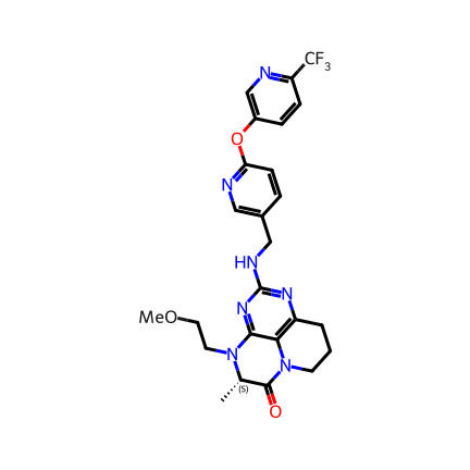 COCCN1c2nc(NCc3ccc(Oc4ccc(C(F)(F)F)nc4)nc3)nc3c2N(CCC3)C(=O)[C@@H]1C